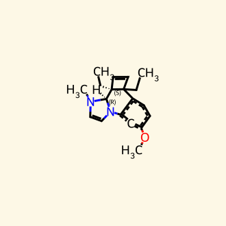 CCC12C=C[C@]1(CC)[C@@H]1N(C)C=CN1c1cc(OC)ccc12